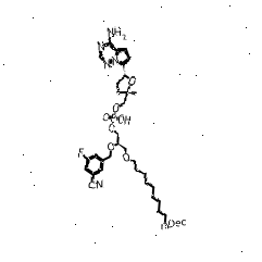 CCCCCCCCCCCCCCCCCCCOC[C@H](COP(=O)(O)OC[C@]1(C)CC[C@H](c2ccc3c(N)ncnn23)O1)OCc1cc(F)cc(C#N)c1